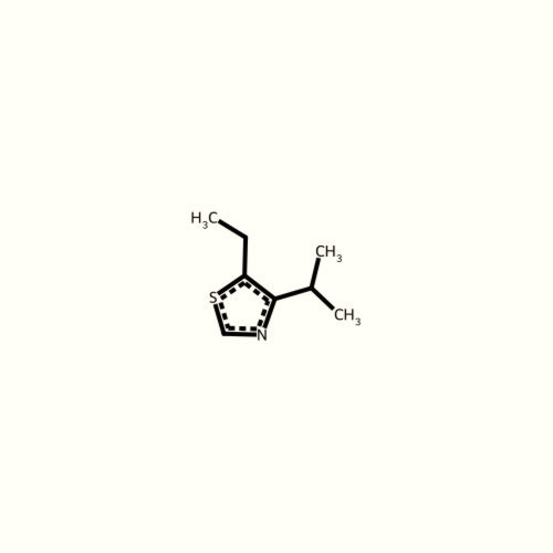 CCc1scnc1C(C)C